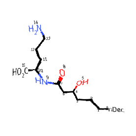 CCCCCCCCCCCCCC(O)CC(=O)N[C@H](CCCN)C(=O)O